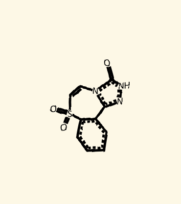 O=c1[nH]nc2n1C=CS(=O)(=O)c1ccccc1-2